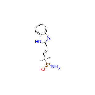 CC(C)(C=Cc1nc2ccccc2[nH]1)[S+](N)[O-]